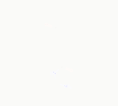 CC(N)NC(=O)c1ccc(C(=O)c2ccccc2)cc1